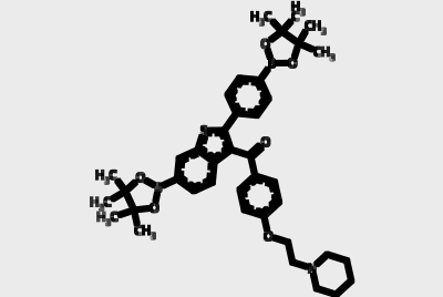 CC1(C)OB(c2ccc(-c3sc4cc(B5OC(C)(C)C(C)(C)O5)ccc4c3C(=O)c3ccc(OCCN4CCCCC4)cc3)cc2)OC1(C)C